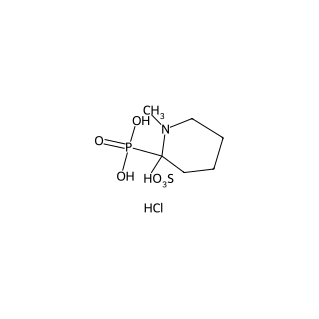 CN1CCCCC1(P(=O)(O)O)S(=O)(=O)O.Cl